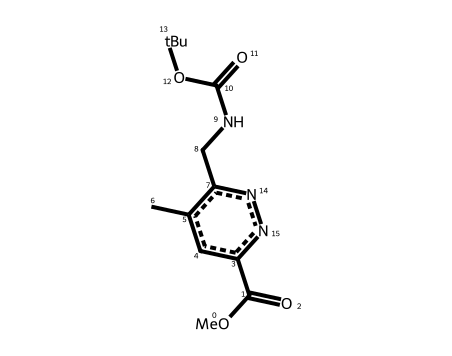 COC(=O)c1cc(C)c(CNC(=O)OC(C)(C)C)nn1